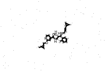 CC1CC1COc1cc(C(=O)N[C@@H](Cc2ccccc2)[C@H](O)CNCC#CC2CC2)ccn1